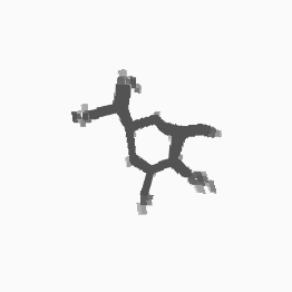 C=C(C)C1CC(=O)C(C)C(C(C)C)C1